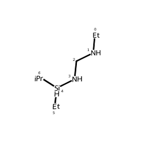 CCNCN[SiH](CC)C(C)C